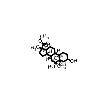 COC(=O)C1(C)CC[C@H]2[C@@H]3CC(C)(O)C4(O)CC(O)CC[C@]4(C)[C@@H]3CC[C@@]21C